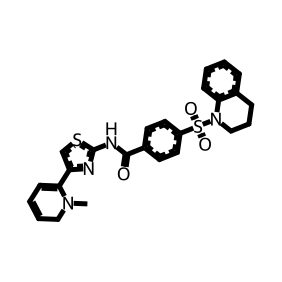 CN1CC=CC=C1c1csc(NC(=O)c2ccc(S(=O)(=O)N3CCCc4ccccc43)cc2)n1